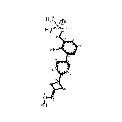 CCON=C1CN(c2ncc(-c3cccc(CO[Si](C)(C)C(C)(C)C)c3F)cn2)C1